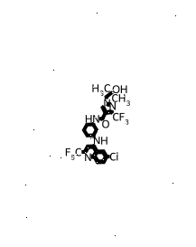 CC(C)(O)Cn1cc(C(=O)NC2CCC[C@H](Nc3cc(C(F)(F)F)nc4ccc(Cl)cc34)C2)c(C(F)(F)F)n1